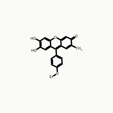 CCOc1ccc(-c2c3cc(C)c(=O)cc-3oc3cc(O)c(O)cc23)cc1